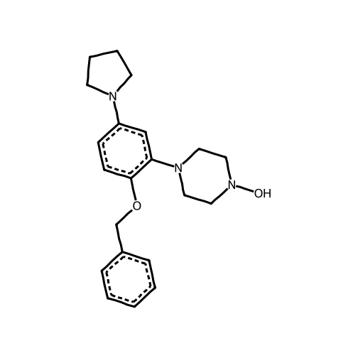 ON1CCN(c2cc(N3CCCC3)ccc2OCc2ccccc2)CC1